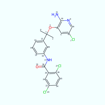 CC(C)(Oc1cc(Cl)cnc1N)c1cccc(NC(=O)c2cc(Cl)ccc2Cl)c1